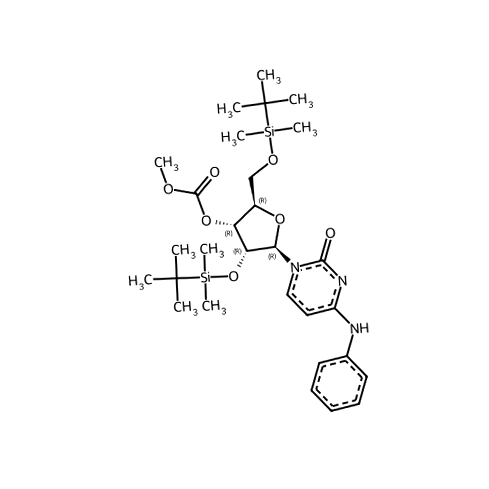 COC(=O)O[C@H]1[C@@H](O[Si](C)(C)C(C)(C)C)[C@H](n2ccc(Nc3ccccc3)nc2=O)O[C@@H]1CO[Si](C)(C)C(C)(C)C